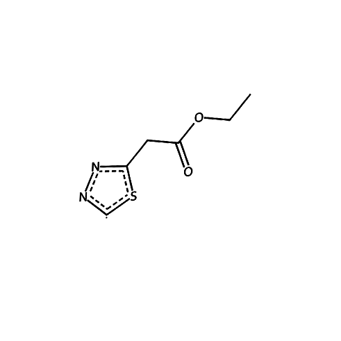 CCOC(=O)Cc1nn[c]s1